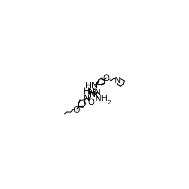 CCCCOc1ccc(NC(=O)n2nc(Nc3ccc(OCCN4CCCCC4)cc3)nc2N)cc1